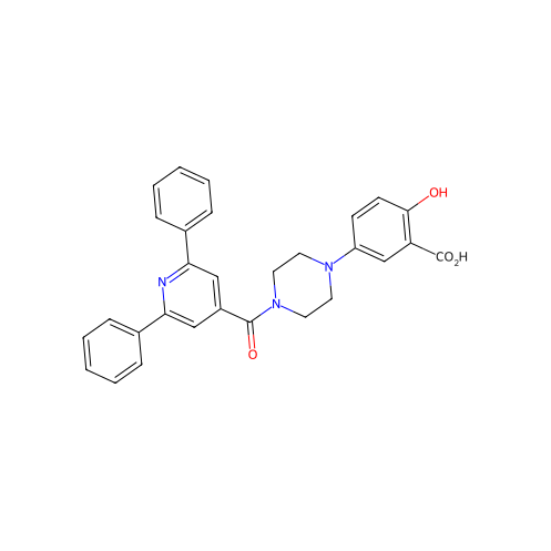 O=C(O)c1cc(N2CCN(C(=O)c3cc(-c4ccccc4)nc(-c4ccccc4)c3)CC2)ccc1O